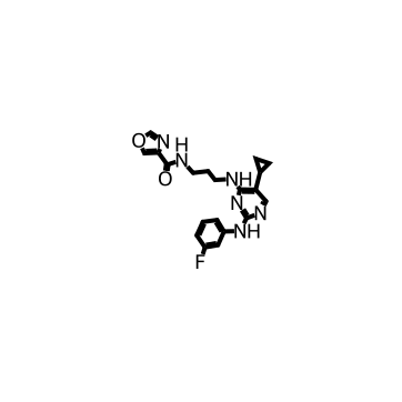 O=C(NCCCNc1nc(Nc2cccc(F)c2)ncc1C1CC1)c1cocn1